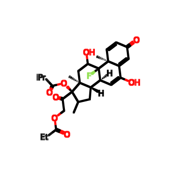 CCC(=O)OCC(=O)[C@@]1(OC(=O)C(C)C)C(C)C[C@H]2[C@@H]3C=C(O)C4=CC(=O)C=C[C@]4(C)[C@@]3(F)C(O)C[C@@]21C